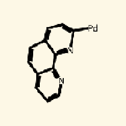 [Pd][c]1ccc2ccc3cccnc3c2n1